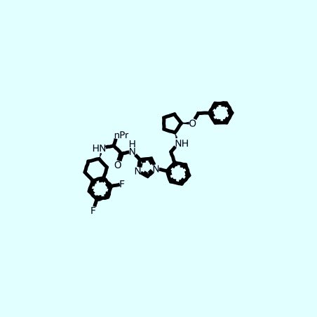 CCCC(N[C@H]1CCc2cc(F)cc(F)c2C1)C(=O)Nc1cn(-c2ccccc2CN[C@@H]2CCC[C@H]2OCc2ccccc2)cn1